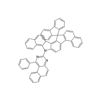 c1ccc(-c2nc(-n3c4ccc5c(c4c4ccc6ccccc6c43)C3(c4ccccc4-c4ccccc43)c3ccc4ccccc4c3-5)nc3ccc4ccccc4c23)cc1